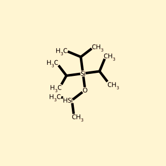 CC(C)[Si](O[SiH](C)C)(C(C)C)C(C)C